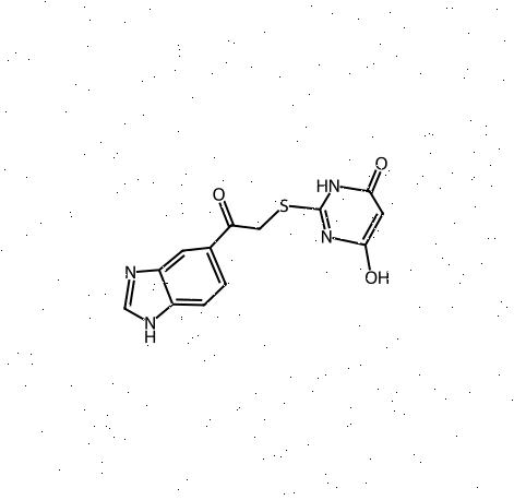 O=C(CSc1nc(O)cc(=O)[nH]1)c1ccc2[nH]cnc2c1